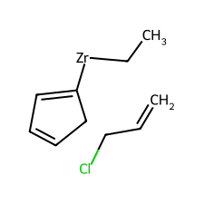 C=CCCl.C[CH2][Zr][C]1=CC=CC1